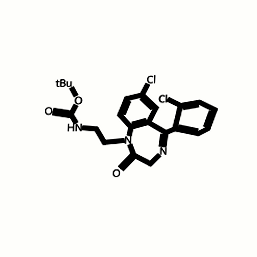 CC(C)(C)OC(=O)NCCN1C(=O)CN=C(c2ccccc2Cl)c2cc(Cl)ccc21